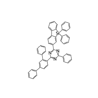 c1ccc(-c2ccc(-c3nc(-c4ccccc4)nc(-c4ccc5c(c4)[Si](c4ccccc4)(c4ccccc4)c4ccccc4-5)n3)c(-c3ccccc3)c2)cc1